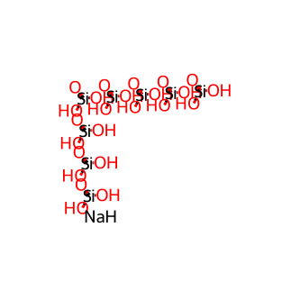 O=[Si](O)O.O=[Si](O)O.O=[Si](O)O.O=[Si](O)O.O=[Si](O)O.O=[Si](O)O.O=[Si](O)O.O=[Si](O)O.[NaH]